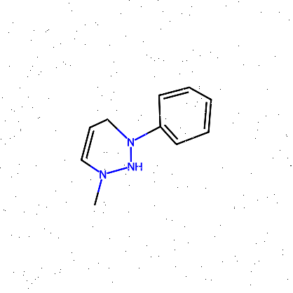 CN1C=CCN(c2ccccc2)N1